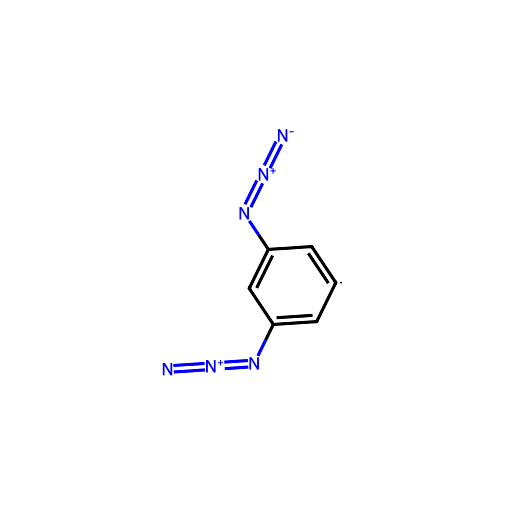 [N-]=[N+]=Nc1c[c]cc(N=[N+]=[N-])c1